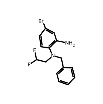 Nc1cc(Br)ccc1N(Cc1ccccc1)CC(F)F